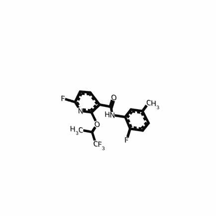 Cc1ccc(F)c(NC(=O)c2ccc(F)nc2OC(C)C(F)(F)F)c1